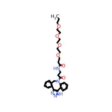 CCCOCCOCCOCCOCCC(=O)NCCC(=O)N1Cc2ccccc2-c2nn[nH]c2-c2ccccc21